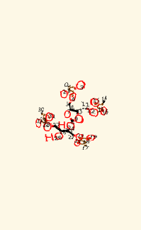 CS(=O)(=O)OC[C@@H]1OCO[C@H]1COS(C)(=O)=O.CS(=O)(=O)OC[C@H](O)[C@@H](O)COS(C)(=O)=O